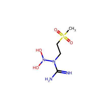 CS(=O)(=O)CCN(C(=N)N)N(O)O